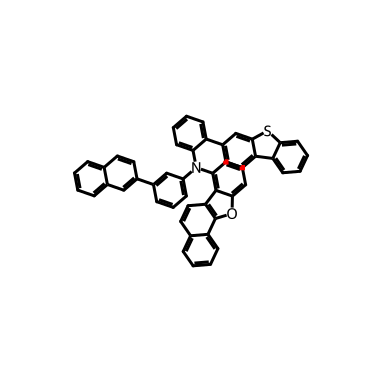 c1cc(-c2ccc3ccccc3c2)cc(N(c2ccccc2-c2ccc3c(c2)sc2ccccc23)c2cccc3oc4c5ccccc5ccc4c23)c1